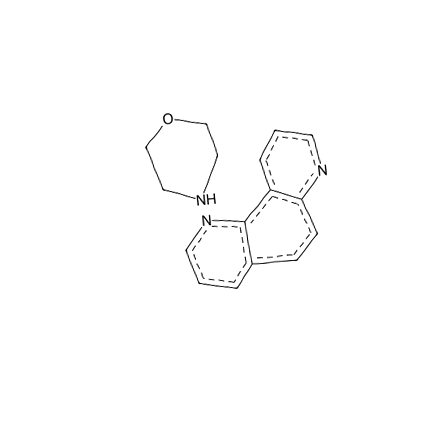 C1COCCN1.c1cnc2c(c1)ccc1ncccc12